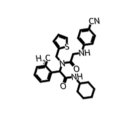 Cc1ccccc1C(C(=O)NC1CCCCC1)N(Cc1cccs1)C(=O)CNc1ccc(C#N)cc1